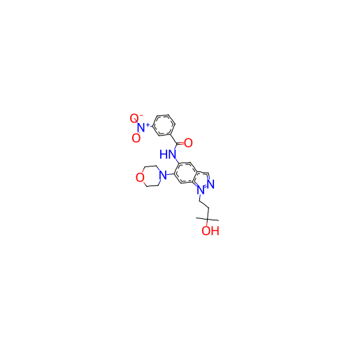 CC(C)(O)CCn1ncc2cc(NC(=O)c3cccc([N+](=O)[O-])c3)c(N3CCOCC3)cc21